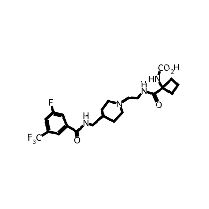 O=C(O)NC1(C(=O)NCCN2CCC(CNC(=O)c3cc(F)cc(C(F)(F)F)c3)CC2)CCC1